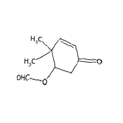 CC1(C)C=CC(=O)CC1OC=O